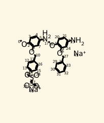 COc1ccc(N)cc1OCc1ccccc1.COc1ccc(N)cc1OCc1ccccc1.O=S([O-])S(=O)[O-].[Na+].[Na+]